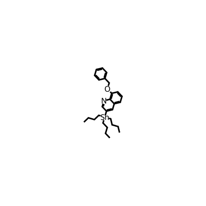 CCC[CH2][Sn]([CH2]CCC)([CH2]CCC)[c]1cnc2c(OCc3ccccc3)cccc2c1